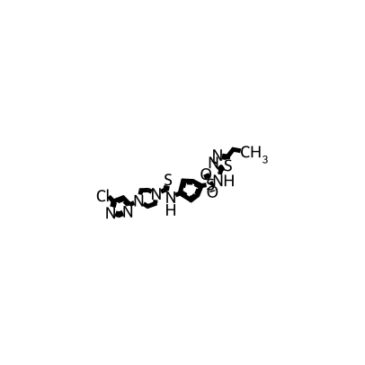 CCc1nnc(NS(=O)(=O)c2ccc(NC(=S)N3CCN(c4cc(Cl)ncn4)CC3)cc2)s1